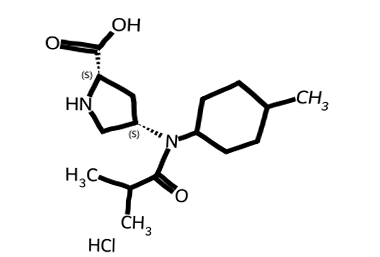 CC1CCC(N(C(=O)C(C)C)[C@@H]2CN[C@H](C(=O)O)C2)CC1.Cl